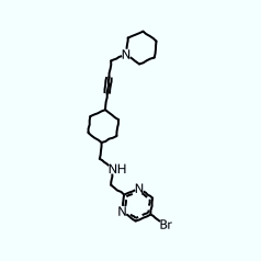 Brc1cnc(CNCC2CCC(C#CCN3CCCCC3)CC2)nc1